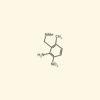 C[N]Cc1c(C)ccc([N+](=O)[O-])c1N